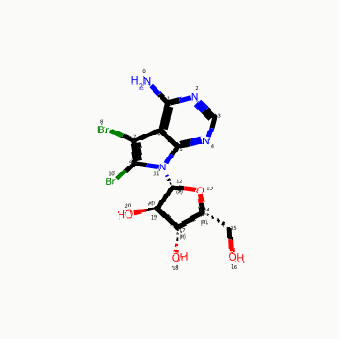 Nc1ncnc2c1c(Br)c(Br)n2[C@@H]1O[C@H](CO)[C@H](O)[C@H]1O